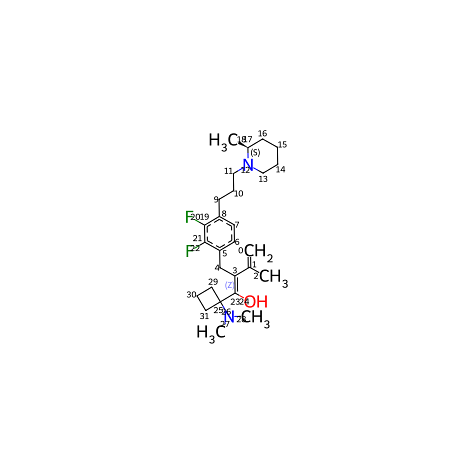 C=C(C)/C(Cc1ccc(CCCN2CCCC[C@@H]2C)c(F)c1F)=C(\O)C1(N(C)C)CCC1